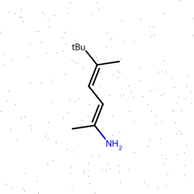 C/C(N)=C\C=C(/C)C(C)(C)C